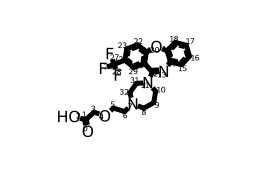 O=C(O)COCCN1CCCN(C2=Nc3ccccc3Oc3ccc(C(F)(F)F)cc32)CC1